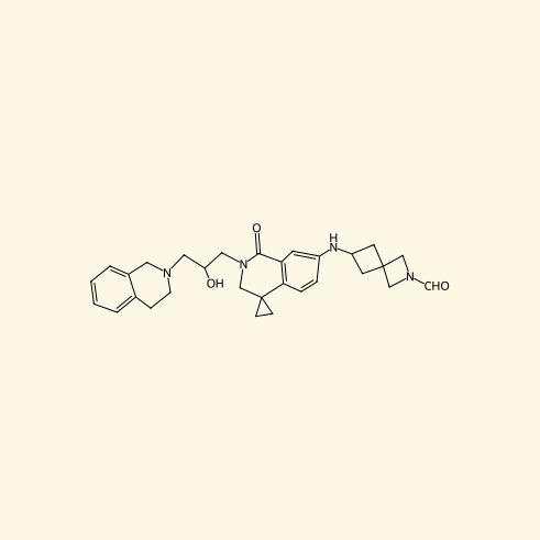 O=CN1CC2(CC(Nc3ccc4c(c3)C(=O)N(CC(O)CN3CCc5ccccc5C3)CC43CC3)C2)C1